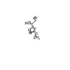 COc1cc(C(O)CBr)on1